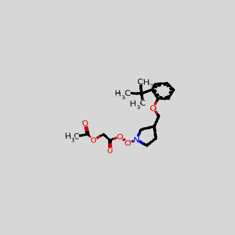 CC(=O)OCC(=O)OON1CCC(COc2ccccc2C(C)(C)C)C1